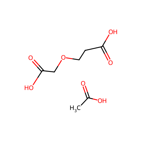 CC(=O)O.O=C(O)CCOCC(=O)O